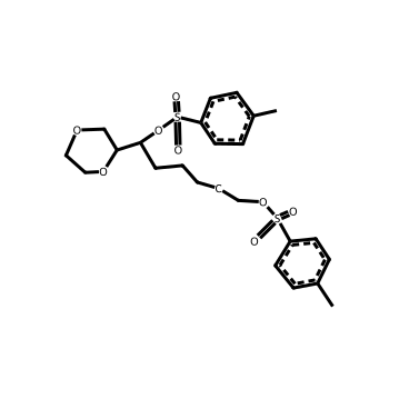 Cc1ccc(S(=O)(=O)OCCCCCC(OS(=O)(=O)c2ccc(C)cc2)C2COCCO2)cc1